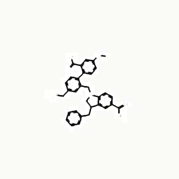 COc1ccc(-c2ccc(CN)cc2CN2CC(Cc3ccccc3)c3cc(C(=N)N)ccc32)c(C(=O)O)c1